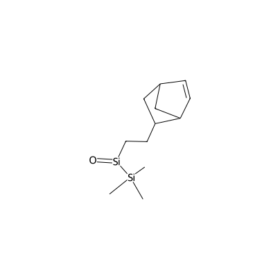 C[Si](C)(C)[Si](=O)CCC1CC2C=CC1C2